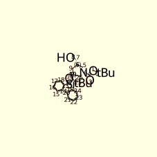 CC(C)(C)OC(=O)N1C[C@@H](CO)C[C@@H](O[Si](c2ccccc2)(c2ccccc2)C(C)(C)C)C1